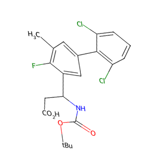 Cc1cc(-c2c(Cl)cccc2Cl)cc(C(CC(=O)O)NC(=O)OC(C)(C)C)c1F